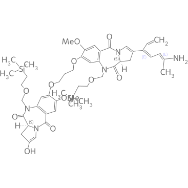 C=C/C(=C\C=C(/C)N)C1=CN2C(=O)c3cc(OC)c(OCCCOc4cc5c(cc4OC)C(=O)N4C=C(O)C[C@H]4C(=O)N5COCC[Si](C)(C)C)cc3N(COCC[Si](C)(C)C)C(=O)[C@@H]2C1